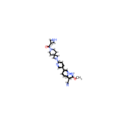 COc1nn2cc(-c3ccc(N4CC5(CCN(C(=O)C6CNC6)CC5)C4)nc3)ccc2c1C#N